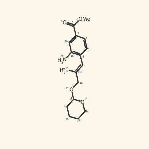 COC(=O)c1ccc(/C=C(\C)COC2CCCCO2)c(N)c1